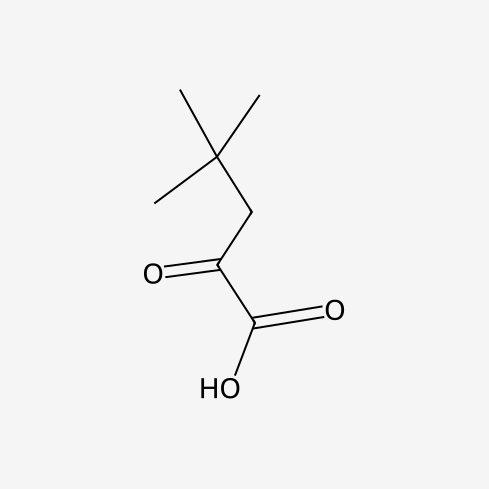 CC(C)(C)CC(=O)C(=O)O